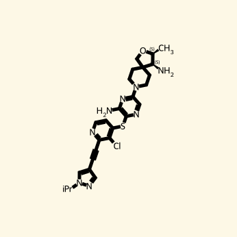 CC(C)n1cc(C#Cc2nccc(Sc3ncc(N4CCC5(CC4)CO[C@@H](C)[C@H]5N)nc3N)c2Cl)cn1